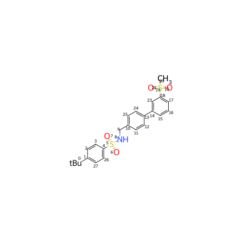 CC(C)(C)c1ccc(S(=O)(=O)NCc2ccc(-c3cccc(S(C)(=O)=O)c3)cc2)cc1